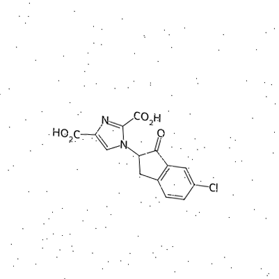 O=C(O)c1cn(C2Cc3ccc(Cl)cc3C2=O)c(C(=O)O)n1